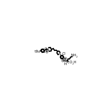 CC(C)(C)c1ccc(S(=O)(=O)N2CCC(CCCC3CCN(c4ccc(S(=O)(=O)NC(CCCCN)C(=O)O)cc4Cl)CC3)CC2)cc1